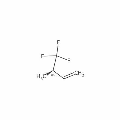 C=C[C@@H](C)C(F)(F)F